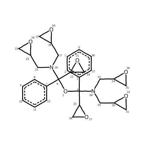 c1ccc(C(OC(c2ccccc2)(C2CO2)N(CC2CO2)CC2CO2)(C2CO2)N(CC2CO2)CC2CO2)cc1